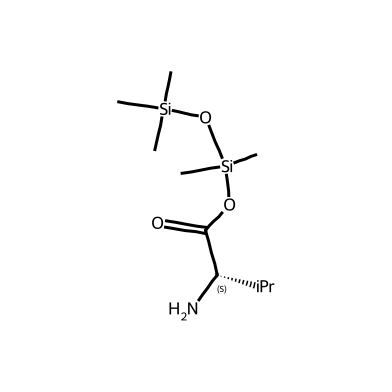 CC(C)[C@H](N)C(=O)O[Si](C)(C)O[Si](C)(C)C